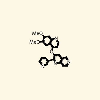 COc1cc2nccc(Oc3cc4cnccc4nc3-c3cccnc3)c2cc1OC